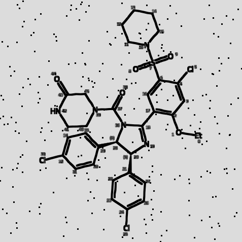 CCOc1cc(Cl)c(S(=O)(=O)N2CCCCC2)cc1C1=N[C@@H](c2ccc(Cl)cc2)[C@@H](c2ccc(Cl)cc2)N1C(=O)N1CCNC(=O)C1